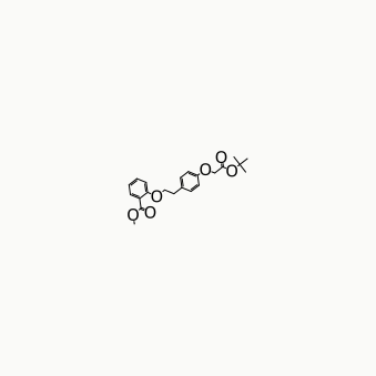 COC(=O)c1ccccc1OCCc1ccc(OCC(=O)OC(C)(C)C)cc1